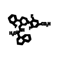 C[C@@H](NCC1CN(c2c(F)cc(C(=O)O)cc2F)CCC1c1ccccc1F)c1cccc2ccccc12